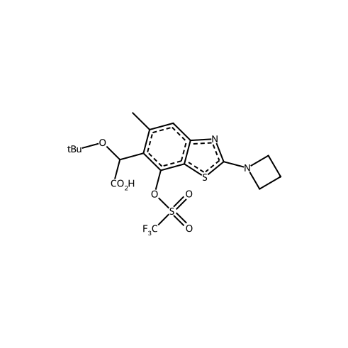 Cc1cc2nc(N3CCC3)sc2c(OS(=O)(=O)C(F)(F)F)c1C(OC(C)(C)C)C(=O)O